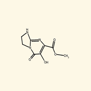 COC(=O)c1nc2n(c(=O)c1O)CCN2